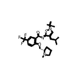 CC(C)Cc1cn(C(C)(C)C)s/c1=N\C(=O)c1cc(C(F)(F)F)ccc1OC[C@@H]1CCCN1C